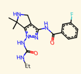 CCNC(=O)Nn1nc(NC(=O)c2cccc(F)c2)c2c1C(C)(C)NC2